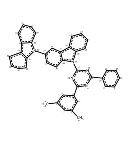 Cc1cc(C)cc(-c2nc(-c3ccccc3)nc(-n3c4ccccc4c4cc(-n5c6ccccc6c6ccccc65)ccc43)n2)c1